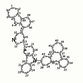 c1ccc2c(c1)sc1c(-c3cncc(-c4ccc5c(c4)c4ccccc4n5-c4ccc5c6ccccc6c6ccccc6c5c4)c3)cccc12